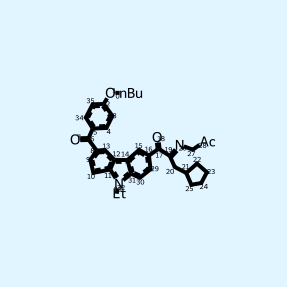 CCCCOc1ccc(C(=O)c2ccc3c(c2)c2cc(C(=O)/C(CC4CCCC4)=N/CC(C)=O)ccc2n3CC)cc1